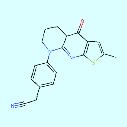 Cc1cc2c(s1)N=C1C(CCCN1c1ccc(CC#N)cc1)C2=O